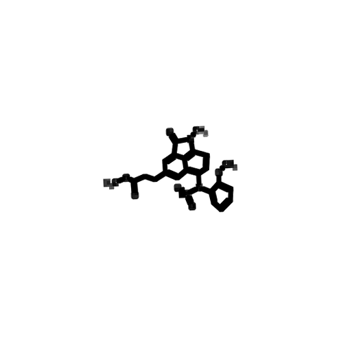 COC(=O)CCc1cc2c3c(ccc(N(c4ccccc4OC)[SH](=O)=O)c3c1)N(C)C2=O